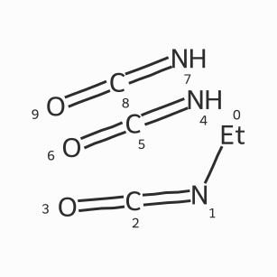 CCN=C=O.N=C=O.N=C=O